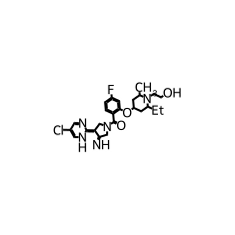 CCC1CC(Oc2cc(F)ccc2C(=O)N2CC(=N)/C(=C3/N=CC(Cl)=CN3)C2)CC(C)N1CCO